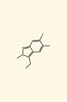 CCc1c2cc(C)c(F)cc2nn1C